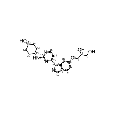 OCC(O)COc1ccc2cnn(-c3ccnc(N[C@H]4CC[C@H](O)CC4)n3)c2c1